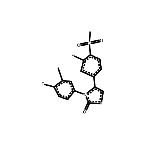 Cc1cc(-n2c(-c3ccc(S(C)(=O)=O)c(F)c3)csc2=O)ccc1F